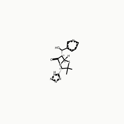 CC1(C)S[C@H]2[C@@H](C(O)c3cccnc3)C(=O)N2[C@H]1c1nnn[nH]1